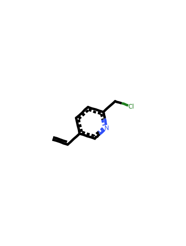 C=Cc1ccc(CCl)nc1